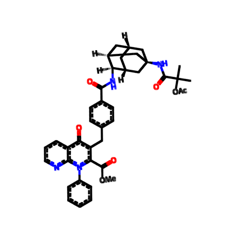 COC(=O)c1c(Cc2ccc(C(=O)N[C@@H]3[C@@H]4C[C@@H]5C[C@H]3C[C@](NC(=O)C(C)(C)OC(C)=O)(C5)C4)cc2)c(=O)c2cccnc2n1-c1ccccc1